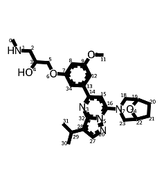 CNCC(O)COc1cc(OC)cc(-c2cc(N3CC4CCC(C3)O4)n3ncc(C(C)C)c3n2)c1